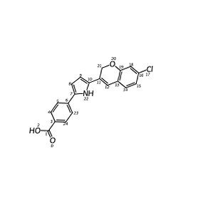 O=C(O)c1ccc(-c2ccc(C3=Cc4ccc(Cl)cc4OC3)[nH]2)cc1